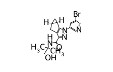 CC(C)(CO)NC(=O)c1nn(-c2cncc(Br)c2)c2c1C[C@H]1C[C@@H]21